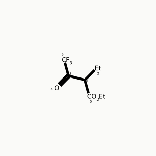 CCOC(=O)C(CC)C(=O)C(F)(F)F